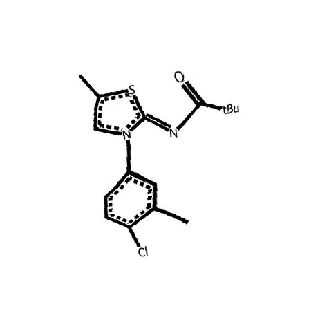 Cc1cn(-c2ccc(Cl)c(C)c2)/c(=N/C(=O)C(C)(C)C)s1